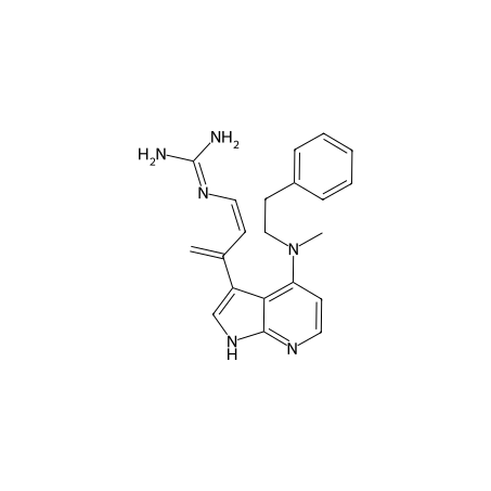 C=C(/C=C\N=C(N)N)c1c[nH]c2nccc(N(C)CCc3ccccc3)c12